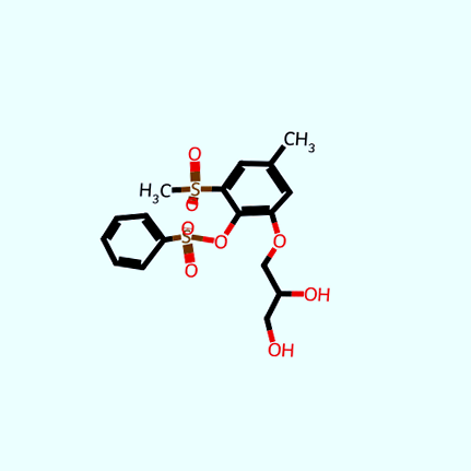 Cc1cc(OCC(O)CO)c(OS(=O)(=O)c2ccccc2)c(S(C)(=O)=O)c1